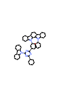 c1ccc(-c2nc(-c3cccc(-n4c5ccccc5c5ccc6c7ccccc7n(-c7ccccc7)c6c54)c3)nc(-n3c4ccccc4c4ccccc43)n2)cc1